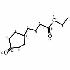 CCOC(=O)CCCC1CCC(=O)CC1